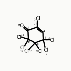 O=C1C(Cl)=CC(Cl)(Cl)C(Cl)(Cl)C1(Cl)Cl